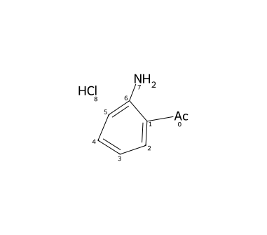 CC(=O)c1ccccc1N.Cl